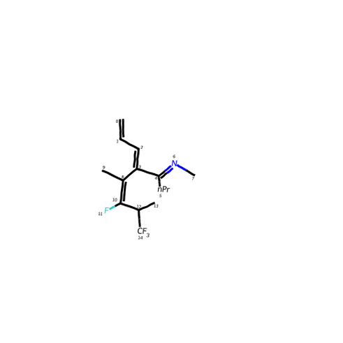 C=C/C=C(C(/CCC)=N/C)\C(C)=C(\F)C(C)C(F)(F)F